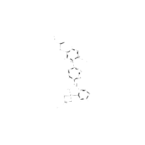 COC(=O)Cc1ccc(F)c(-c2ccc(NCC3(c4ccccn4)CC(F)C3)nn2)c1